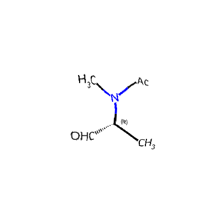 CC(=O)N(C)[C@H](C)C=O